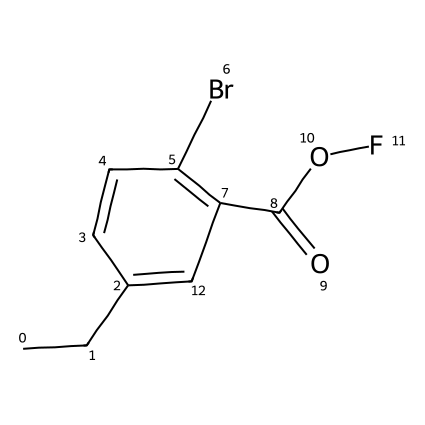 CCc1ccc(Br)c(C(=O)OF)c1